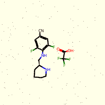 N#Cc1cc(F)c(NC[C@@H]2CCCCN2)c(F)c1.O=C(O)C(F)(F)F